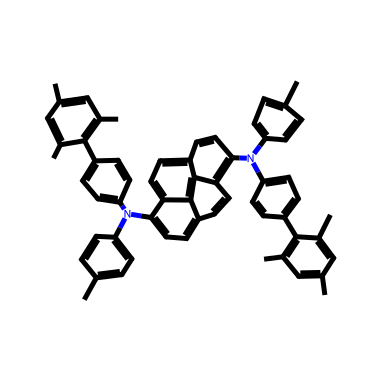 Cc1ccc(N(c2ccc(-c3c(C)cc(C)cc3C)cc2)c2ccc3ccc4c(N(c5ccc(C)cc5)c5ccc(-c6c(C)cc(C)cc6C)cc5)ccc5ccc2c3c54)cc1